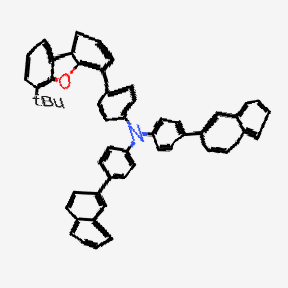 CC(C)(C)c1cccc2c1oc1c(-c3ccc(N(c4ccc(-c5ccc6ccccc6c5)cc4)c4ccc(-c5ccc6ccccc6c5)cc4)cc3)cccc12